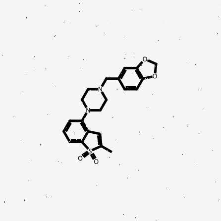 CC1=Cc2c(N3CCN(Cc4ccc5c(c4)OCO5)CC3)cccc2S1(=O)=O